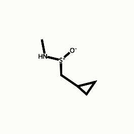 CN[S+]([O-])CC1CC1